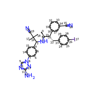 C[C@H](NC(c1ccc(-n2cnc(N)n2)cc1)C(C)(C)C#N)[C@@H](Cc1ccc(I)cc1)c1cccc(C#N)c1